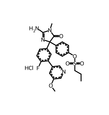 CCCS(=O)(=O)Oc1ccc(C2(c3ccc(F)c(-c4cncc(OC)c4)c3)N=C(N)N(C)C2=O)cc1.Cl